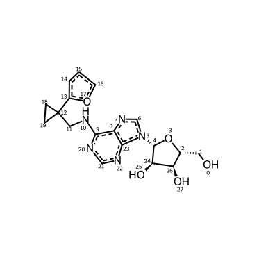 OC[C@H]1O[C@@H](n2cnc3c(NCC4(c5ccco5)CC4)ncnc32)[C@H](O)[C@@H]1O